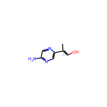 C/C(=C\O)c1cnc(N)cn1